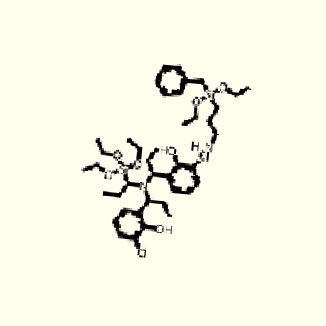 CCO[Si](CCCN)(Cc1ccccc1)OCC.CCO[Si](OCC)(OCC)C(CC)N(C(CC)c1cccc(Cl)c1O)C(CC)c1cccc(Cl)c1O